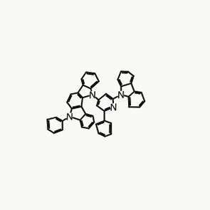 c1ccc(-c2cc(-n3c4ccccc4c4ccc5c(c6ccccc6n5-c5ccccc5)c43)cc(-n3c4ccccc4c4ccccc43)n2)cc1